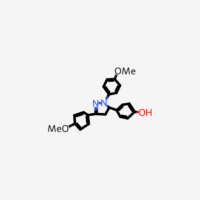 COc1ccc(C2=NN(c3ccc(OC)cc3)C(c3ccc(O)cc3)C2)cc1